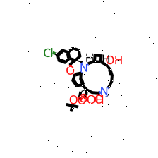 CN1CCC=C[C@H](O)[C@@H]2CC[C@H]2CN2C[C@@]3(CCCc4cc(Cl)ccc43)COc3ccc(cc32)[C@](CC(=O)OC(C)(C)C)(C(=O)O)CC1=O